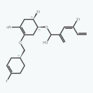 C=C/C(=C\C(=C)C(O)O[C@H]1CC(OC[C@@H]2CC=C(F)CC2)=C(CCC)C[C@H]1CC)CC